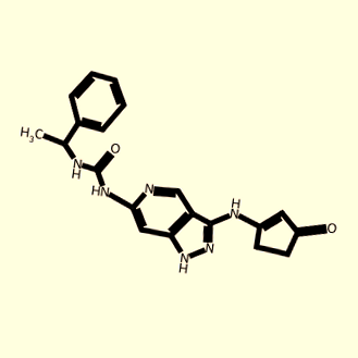 CC(NC(=O)Nc1cc2[nH]nc(NC3=CC(=O)CC3)c2cn1)c1ccccc1